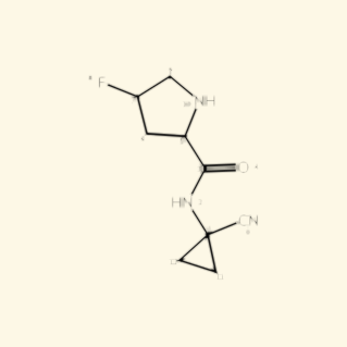 N#CC1(NC(=O)C2CC(F)CN2)CC1